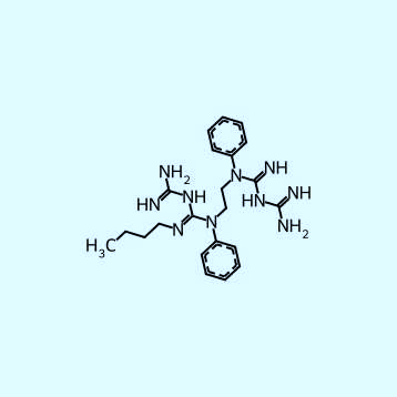 CCCCN=C(NC(=N)N)N(CCN(C(=N)NC(=N)N)c1ccccc1)c1ccccc1